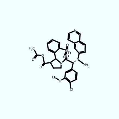 CCOc1cc([C@H](C(=O)N2CCC(C(=O)OC(=O)C(F)(F)F)C2c2ccccc2S(=O)(=O)CC)N(N)c2ccc3cnccc3c2)ccc1Cl